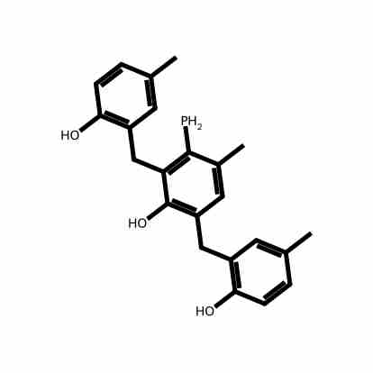 Cc1ccc(O)c(Cc2cc(C)c(P)c(Cc3cc(C)ccc3O)c2O)c1